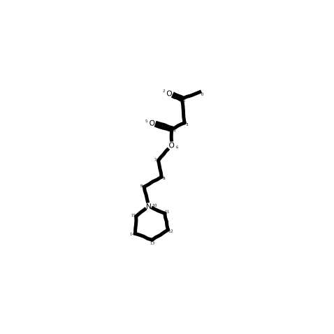 CC(=O)CC(=O)OCCCN1CCCCC1